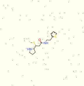 CSC(CC(=O)NCCc1cccs1)C1CCCN1